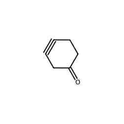 O=C1CC#CCC1